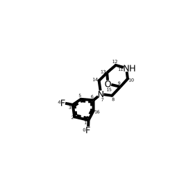 Fc1cc(F)cc(N2CC3CNCC(C2)O3)c1